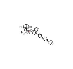 NC(=O)C12CC3C[C@H](C1)C(NC(=O)ON1CCN(c4ccc(N5CCN(C6CCOCC6)CC5)cc4)c4ccccc41)[C@@H](C3)C2